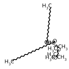 CCCCCCCCCCCCCCCCCCCC(CNC(=O)SCC(C)(C)OCCC(C)(C)OC)OCCCCCCCCCCCCCCCCCC